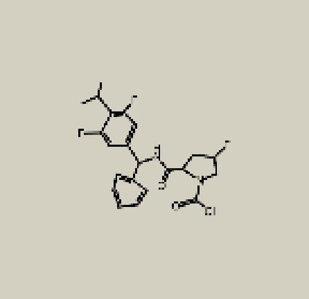 CC(C)c1c(F)cc(C(NC(=O)[C@H]2CC(F)CN2C(=O)O)c2ccccc2)cc1F